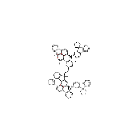 Cc1ccc(-c2cc(CCC3(C)c4ccccc4-c4ccc(N(c5ccc6c(c5)C5(CCCC5)c5ccccc5-6)c5ccccc5-c5ccc(C6CC7CCC6C7)cc5)cc43)cc(C)c2N(C2=CC3=C(CC2)c2ccccc2C32CCCC2)c2ccc3c(c2)C(C)(C)c2ccccc2-3)c(C)c1